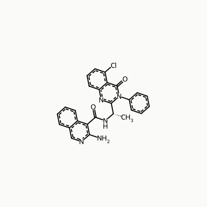 C[C@H](NC(=O)c1c(N)ncc2ccccc12)c1nc2cccc(Cl)c2c(=O)n1-c1ccccc1